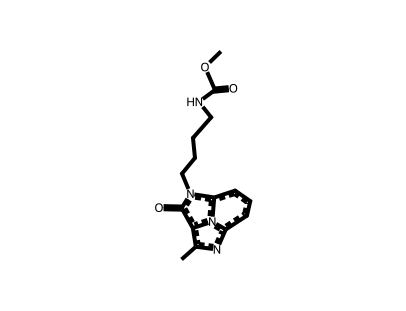 COC(=O)NCCCCn1c(=O)c2c(C)nc3cccc1n32